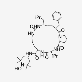 CC(C)CC1/C=C/C(Cc2ccccc2)C(=O)N2CCCC2C(=O)NC(C(C)C)C(=O)NC(C(=O)NC2CC(C)(C)N(O)C(C)(C)C2)CCCNC(=O)N1